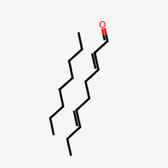 CCC=CCCC=CC=O.CCCCCCCC